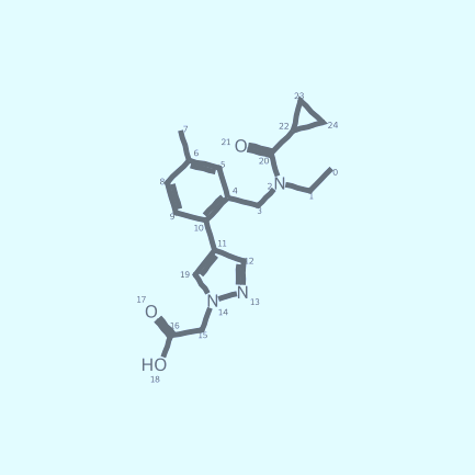 CCN(Cc1cc(C)ccc1-c1cnn(CC(=O)O)c1)C(=O)C1CC1